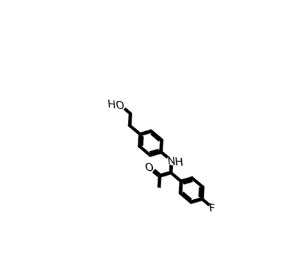 CC(=O)C(Nc1ccc(CCO)cc1)c1ccc(F)cc1